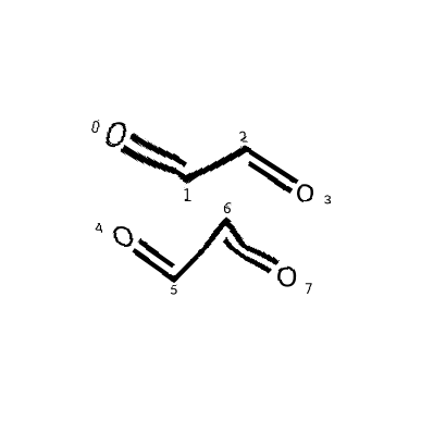 O=CC=O.O=CC=O